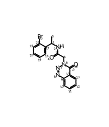 CC(NC(=O)Cn1nnc2ccccc2c1=O)c1ccccc1Br